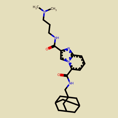 CN(C)CCCNC(=O)c1cn2c(C(=O)NCC34CC5CC(CC(C5)C3)C4)cccc2n1